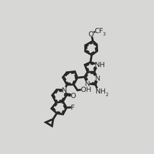 Nc1nc(-c2cccc(-n3ccc4cc(C5CC5)cc(F)c4c3=O)c2CO)c2cc(-c3ccc(OC(F)(F)F)cc3)[nH]c2n1